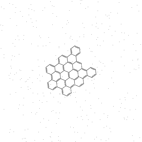 c1ccc2c(c1)c1ccc3c4cccc5c6cccc7c8cccc9c%10ccc%11c%12ccccc%12c%12cc2c2c1c3c1c(c54)c(c67)c(c89)c3c%10c%11c%12c2c13